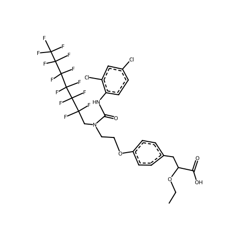 CCOC(Cc1ccc(OCCN(CC(F)(F)C(F)(F)C(F)(F)C(F)(F)C(F)(F)C(F)(F)F)C(=O)Nc2ccc(Cl)cc2Cl)cc1)C(=O)O